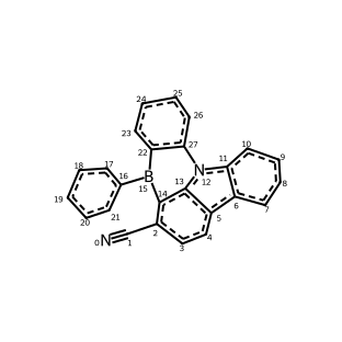 N#Cc1ccc2c3ccccc3n3c2c1B(c1ccccc1)c1ccccc1-3